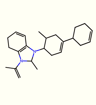 C=C(C)N1C2=C(C=CCC2)N(C2CC=C(C3CC=CCC3)CC2C)C1C